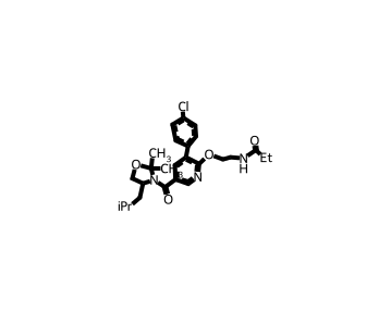 CCC(=O)NCCOc1ncc(C(=O)N2C(CC(C)C)COC2(C)C)cc1-c1ccc(Cl)cc1